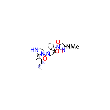 C=C(/C=C\C=C/C)[C@@H]1CNCCN1C(=O)N1CC[C@@](O)(Cn2cnc(NC)cc2=O)C2(CCCC2)C1